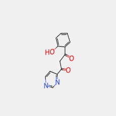 O=C(CC(=O)c1ccccc1O)c1ccncn1